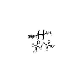 CC(C)(N)C(C)(C)N.O=S(=O)([O-])OOS(=O)(=O)[O-].[Na+].[Na+]